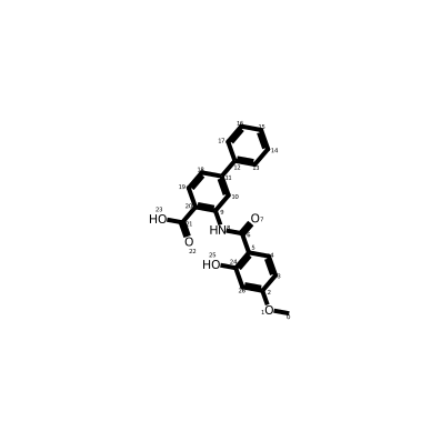 COc1ccc(C(=O)Nc2cc(-c3ccccc3)ccc2C(=O)O)c(O)c1